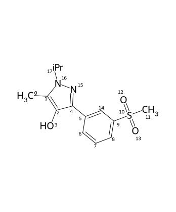 Cc1c(O)c(-c2cccc(S(C)(=O)=O)c2)nn1C(C)C